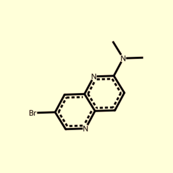 CN(C)c1ccc2ncc(Br)cc2n1